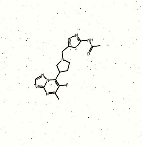 CC(=O)Nc1ncc(CN2CCC(c3c(F)c(C)nc4ncnn34)C2)s1